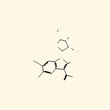 CCC(=O)c1c(Cl)n([C@@H]2O[C@H](COC(C)=O)[C@@H](O)[C@H]2O)c2cc(Cl)c(Cl)cc12